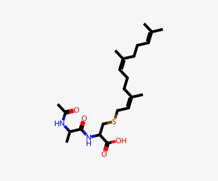 CC(=O)NC(C)C(=O)NC(CSCC=C(C)CCC=C(C)CCC=C(C)C)C(=O)O